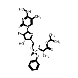 Cc1cn([C@H]2O[C@@H](CO[P@@](=O)(N[C@@H](C)C(=O)OC(C)C)Oc3ccccc3)[C@H](O)[C@H]2F)c(=O)nc1NO